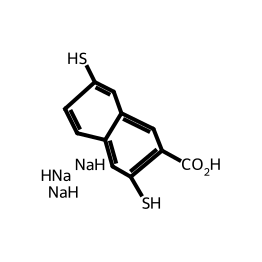 O=C(O)c1cc2cc(S)ccc2cc1S.[NaH].[NaH].[NaH]